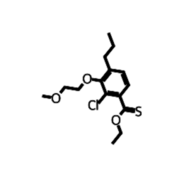 CCCc1ccc(C(=S)OCC)c(Cl)c1OCCOC